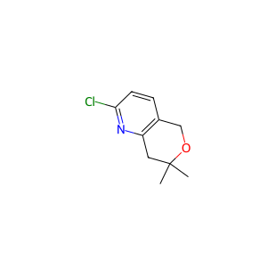 CC1(C)Cc2nc(Cl)ccc2CO1